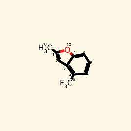 Cc1cc2c(C(F)(F)F)cccc2o1